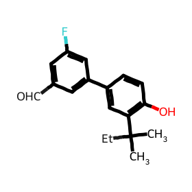 CCC(C)(C)c1cc(-c2cc(F)cc(C=O)c2)ccc1O